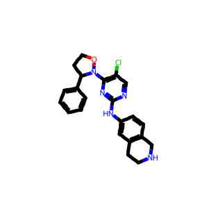 Clc1cnc(Nc2ccc3c(c2)CCNC3)nc1N1OCCC1c1ccccc1